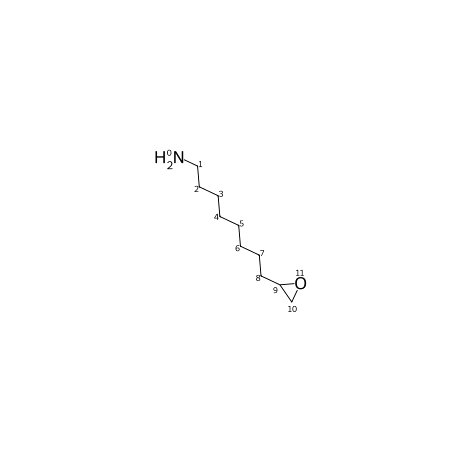 NCCCCCCCCC1CO1